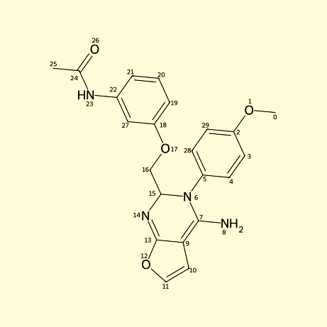 COc1ccc(N2C(N)=c3ccoc3=NC2COc2cccc(NC(C)=O)c2)cc1